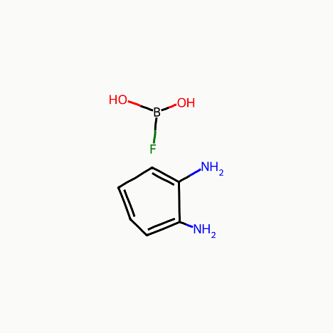 Nc1ccccc1N.OB(O)F